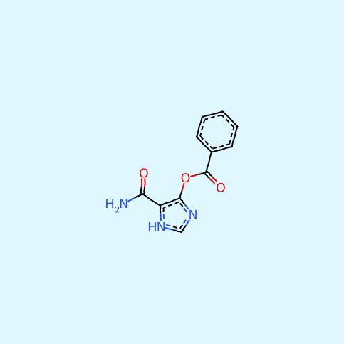 NC(=O)c1[nH]cnc1OC(=O)c1ccccc1